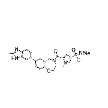 CNS(=O)(=O)c1cc(C(=O)N2CCOc3ccc(-c4ccc5nc(C)[nH]c5c4)cc3C2)n(C)c1